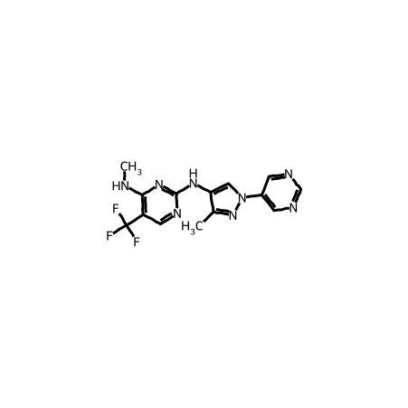 CNc1nc(Nc2cn(-c3cncnc3)nc2C)ncc1C(F)(F)F